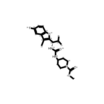 COC(=O)N1CCC(NC(=O)N[C@H](c2oc3ccc(F)cc3c2C)C(C)C)CC1